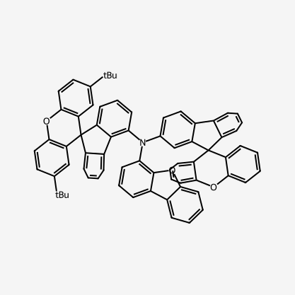 CC(C)(C)c1ccc2c(c1)C1(c3cc(C(C)(C)C)ccc3O2)c2ccccc2-c2c(N(c3ccc4c(c3)C3(c5ccccc5Oc5ccccc53)c3ccccc3-4)c3cccc4c3oc3ccccc34)cccc21